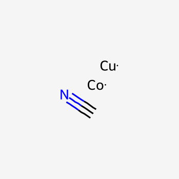 C#N.[Co].[Cu]